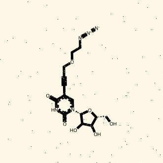 [N-]=[N+]=NCCOCC#Cc1cn([C@@H]2O[C@H](CO)C(O)C2O)c(=O)[nH]c1=O